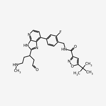 CNCCC(CC=O)c1nc2c(-c3ccc(CNC(=O)c4cc(C(C)(C)C)on4)c(F)c3)ccnc2[nH]1